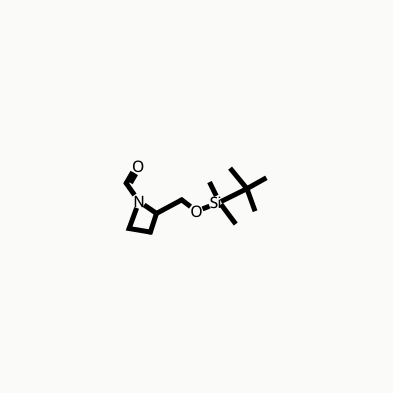 CC(C)(C)[Si](C)(C)OCC1CCN1C=O